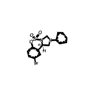 O=S1(=O)Oc2ccc(Br)cc2[C@@H]2CN(c3ccccc3)CN21